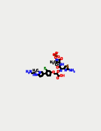 C[n+]1cc(-c2ccc(OCC(O/N=C(\C(=O)N[C@@H]3C(=O)N(OS(=O)(=O)[O-])C3(C)C)c3csc(N)n3)C(=O)O)cc2F)ccc1NCCN